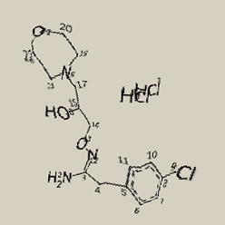 Cl.Cl.NC(Cc1ccc(Cl)cc1)=NOCC(O)CN1CCOCC1